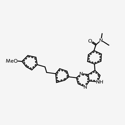 COc1ccc(CCc2ccc(-c3cnc4[nH]cc(-c5ccc(C(=O)N(C)C)cc5)c4n3)cc2)cc1